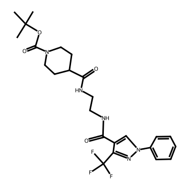 CC(C)(C)OC(=O)N1CCC(C(=O)NCCNC(=O)c2cn(-c3ccccc3)nc2C(F)(F)F)CC1